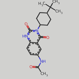 CC(=O)Nc1ccc2[nH]c(=O)n(C3CCC(C(C)(C)C)CC3)c(=O)c2c1